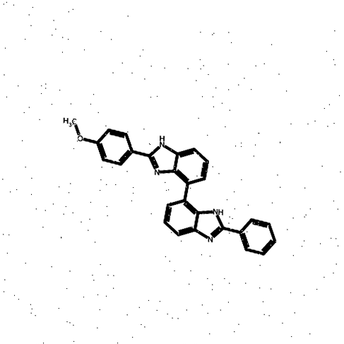 COc1ccc(-c2nc3c(-c4cccc5nc(-c6ccccc6)[nH]c45)cccc3[nH]2)cc1